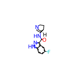 O=C(N[C@H]1CN2CCC1CC2)c1n[nH]c2ccc(F)cc12